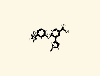 Cn1ccc(-c2cc(C(=O)O)cnc2Oc2cccc(S(F)(F)(F)(F)F)c2)n1